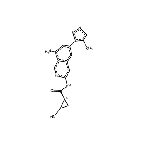 Cc1cnsc1-c1cc(N)c2cnc(NC(=O)[C@H]3CC3C#N)cc2c1